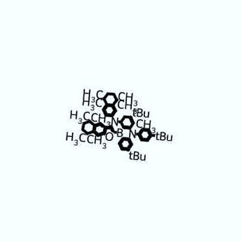 Cc1cc(C(C)(C)C)ccc1N1C2=C3B(c4ccc(C(C)(C)C)cc41)c1oc4cc5c(cc4c1N(c1ccc4c(c1)C(C)(C)CCC4(C)C)C3CC(C(C)(C)C)=C2)C(C)(C)CCC5(C)C